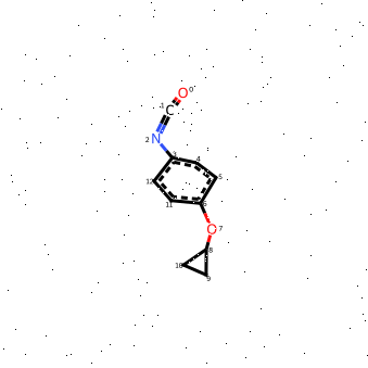 O=C=Nc1ccc(OC2CC2)cc1